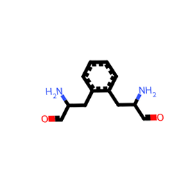 NC(C=O)Cc1ccccc1CC(N)C=O